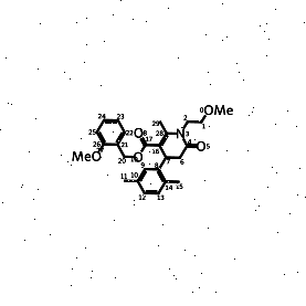 COCCN1C(=O)CC(c2cc(C)ccc2C)C(C(=O)OCc2ccccc2OC)=C1C